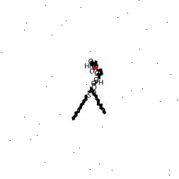 CCCCCCCCCCCCSCC(COOPOCC1CC[C@H](n2cc(C)c(=O)[nH]c2=O)O1)OCCCCCCCCCC